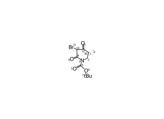 C[C@@H]1CN(C(=O)OC(C)(C)C)C(=O)C(Br)C1=O